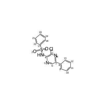 O=S(=O)(Nc1ncc(-c2ccccc2)nc1Cl)c1ccccc1